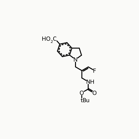 CC(C)(C)OC(=O)NCC(=CF)CN1CCc2cc(C(=O)O)ccc21